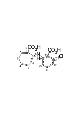 O=C(O)C1=CCC=CC=C1Nc1cccc(Cl)c1C(=O)O